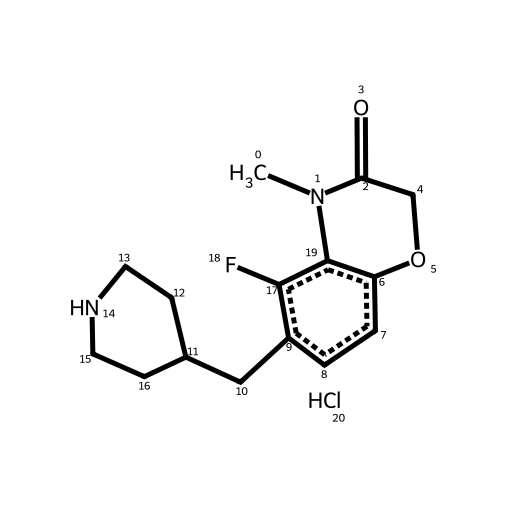 CN1C(=O)COc2ccc(CC3CCNCC3)c(F)c21.Cl